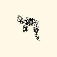 CCOCCOC(C)(C)C(F)(F)CC[C@@H](C)[C@H]1CC[C@H]2[C@@H]3CC=C4C[C@@H](OC5CCCCO5)C[C@H](OC5CCCCO5)[C@]4(C)[C@H]3CC[C@]12C